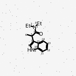 CCN(CC)C(=O)C(C)c1c[nH]c2ccccc12